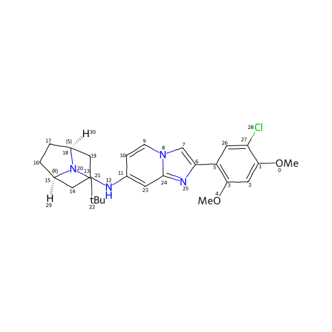 COc1cc(OC)c(-c2cn3ccc(NC4C[C@H]5CC[C@@H](C4)N5CC(C)(C)C)cc3n2)cc1Cl